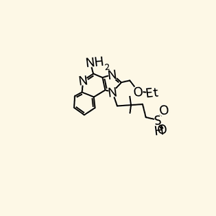 CCOCc1nc2c(N)nc3ccccc3c2n1CC(C)(C)CC[SH](=O)=O